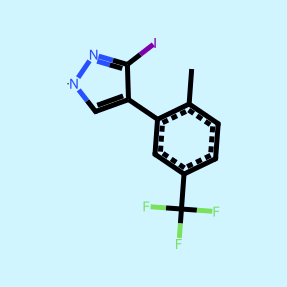 Cc1ccc(C(F)(F)F)cc1C1=C[N]N=C1I